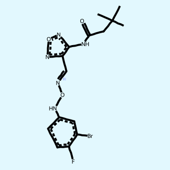 CC(C)(C)CC(=O)Nc1nonc1/C=N/ONc1ccc(F)c(Br)c1